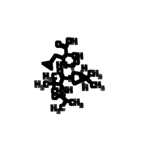 CC(C)C(=O)N[C@H](C(=O)N1C[C@H]2[C@@H]([C@H]1C(=O)NC(CC1CC1)C(O)C(=O)O)C2(C)C)C(C)(C)C